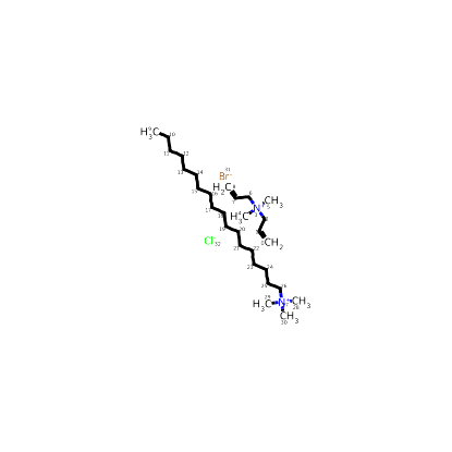 C=CC[N+](C)(C)CC=C.CCCCCCCCCCCCCCCCCC[N+](C)(C)C.[Br-].[Cl-]